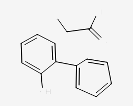 O=C(Cl)CCl.Oc1ccccc1-c1ccccc1